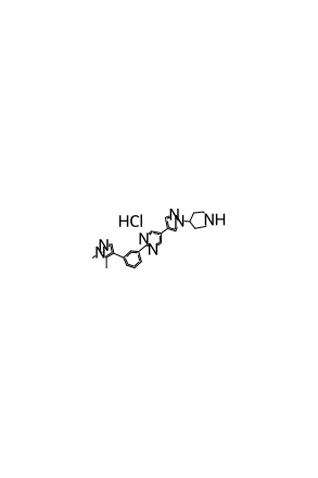 Cc1c(-c2cccc(-c3ncc(-c4cnn(C5CCNCC5)c4)cn3)c2)cnn1C.Cl